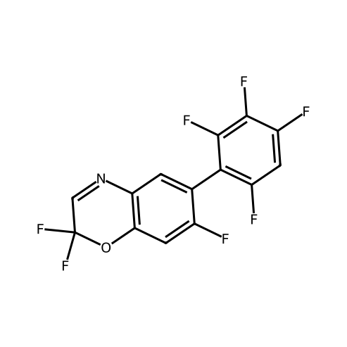 Fc1cc2c(cc1-c1c(F)cc(F)c(F)c1F)N=CC(F)(F)O2